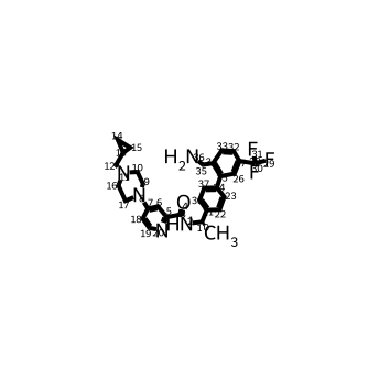 C[C@@H](NC(=O)c1cc(N2CCN(CC3CC3)CC2)ccn1)c1ccc(-c2cc(C(F)(F)F)ccc2CN)cc1